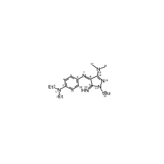 CCN(CC)c1ccc(N=C2C(=N)N(C(C)(C)C)N=C2N(C)C)cc1